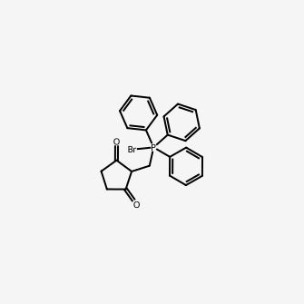 O=C1CCC(=O)C1CP(Br)(c1ccccc1)(c1ccccc1)c1ccccc1